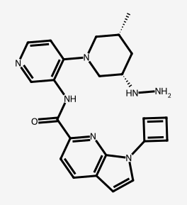 C[C@@H]1C[C@H](NN)CN(c2ccncc2NC(=O)c2ccc3ccn(C4=CC=C4)c3n2)C1